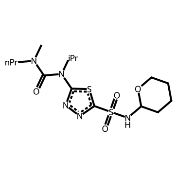 CCCN(C)C(=O)N(c1nnc(S(=O)(=O)NC2CCCCO2)s1)C(C)C